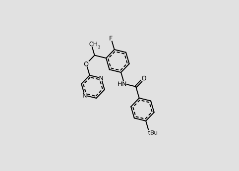 CC(Oc1cnccn1)c1cc(NC(=O)c2ccc(C(C)(C)C)cc2)ccc1F